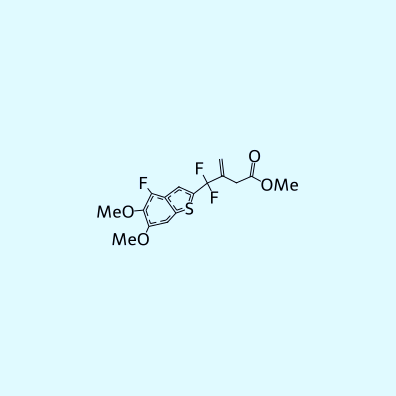 C=C(CC(=O)OC)C(F)(F)c1cc2c(F)c(OC)c(OC)cc2s1